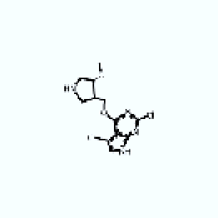 CO[C@H]1CNCC1COc1nc(Cl)nc2[nH]cc(Cl)c12